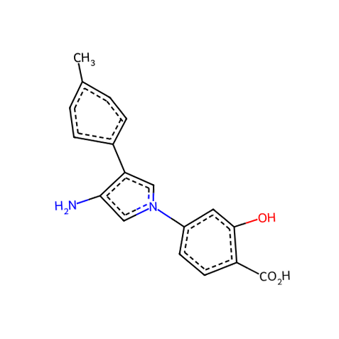 Cc1ccc(-c2cn(-c3ccc(C(=O)O)c(O)c3)cc2N)cc1